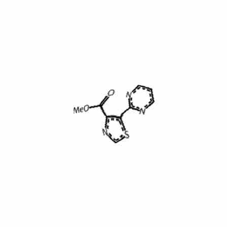 COC(=O)c1ncsc1-c1ncccn1